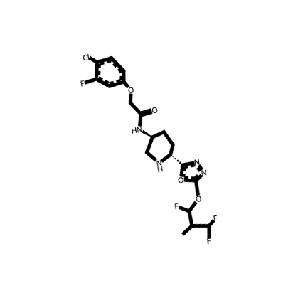 CC(C(F)F)C(F)Oc1nnc([C@H]2CC[C@H](NC(=O)COc3ccc(Cl)c(F)c3)CN2)o1